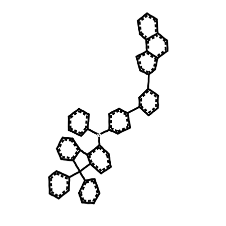 c1ccc(N(c2ccc(-c3cccc(-c4ccc5c(ccc6ccccc65)c4)c3)cc2)c2cccc3c2-c2ccccc2C3(c2ccccc2)c2ccccc2)cc1